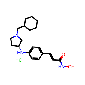 Cl.O=C(C=Cc1ccc(N[C@@H]2CCN(CC3CCCCC3)C2)cc1)NO